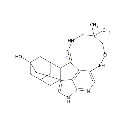 CC1(C)CN/N=C(/C2C3CC4CC2CC(O)(C4)C3)c2c(cnc3[nH]ccc23)BOC1